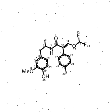 COc1cc(CC(C)NC(=O)/C(=C/OC(F)F)c2ccc(C)cc2)ccc1O